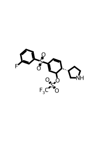 O=S(=O)(C1=CC(OS(=O)(=O)C(F)(F)F)C([C@@H]2CCNC2)C=C1)c1cccc(F)c1